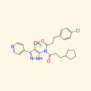 Cc1c(-c2ccncc2)n[nH]c1N(C(=O)CCc1ccc(Cl)cc1)C(=O)CCC1CCCC1